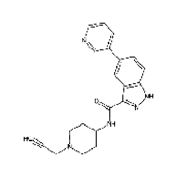 C#CCN1CCC(NC(=O)c2n[nH]c3ccc(-c4cccnc4)cc23)CC1